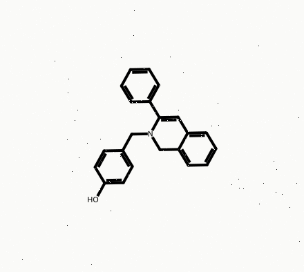 Oc1ccc(CN2Cc3ccccc3C=C2c2ccccc2)cc1